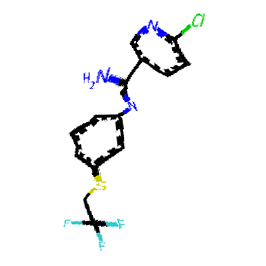 N/C(=N\c1cccc(SCC(F)(F)F)c1)c1ccc(Cl)nc1